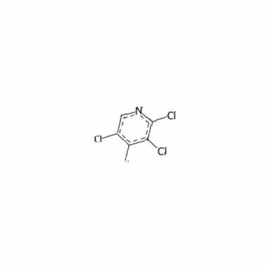 [CH2]c1c(Cl)cnc(Cl)c1Cl